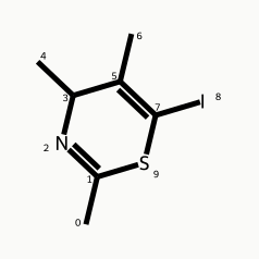 CC1=NC(C)C(C)=C(I)S1